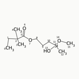 CCC(C)(C)C(=O)OCCC[Si](C)(O)OC